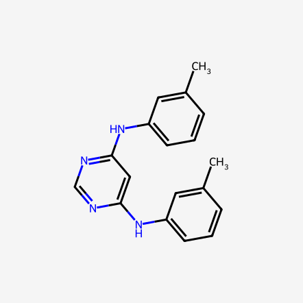 Cc1cccc(Nc2cc(Nc3cccc(C)c3)ncn2)c1